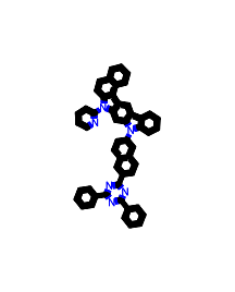 c1ccc(-c2nc(-c3ccccc3)nc(-c3ccc4cc(-n5c6ccccc6c6cc7c8c9ccccc9ccc8n(-c8ccccn8)c7cc65)ccc4c3)n2)cc1